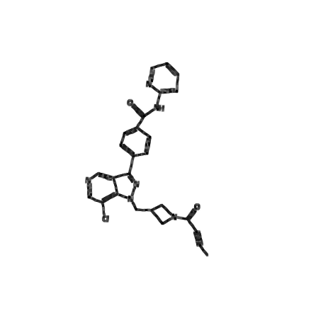 CC#CC(=O)N1CC(Cn2nc(-c3ccc(C(=O)Nc4ccccn4)cc3)c3cncc(Cl)c32)C1